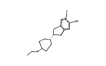 CCC[C@H]1CC[C@H](C2Cc3cc(F)c(Br)cc3C2)CC1